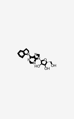 OC[C@H]1O[C@@H](n2cnc3c(N4CCc5ccccc54)ncnc32)[C@H](O)[C@@H]1O